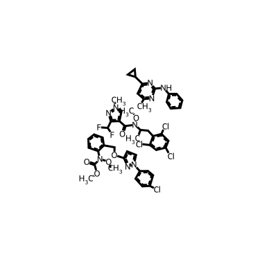 COC(=O)N(OC)c1ccccc1COc1ccn(-c2ccc(Cl)cc2)n1.CON(C(=O)c1cn(C)nc1C(F)F)C(C)Cc1c(Cl)cc(Cl)cc1Cl.Cc1cc(C2CC2)nc(Nc2ccccc2)n1